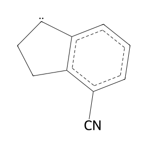 N#Cc1cccc2c1CC[C]2